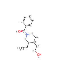 C=C[C@H]1CN(C(=O)c2ccccc2)CCC1CCO